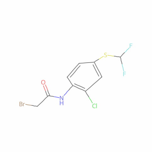 O=C(CBr)Nc1ccc(SC(F)F)cc1Cl